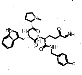 CN1CCC[C@H]1C(=O)N[C@@H](Cc1c[nH]c2ccccc12)C(=O)N[C@@H](CCC(=O)C=N)C(=O)NCc1ccc(F)cc1